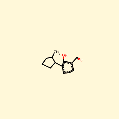 CC1CCCC1c1cccc(C=O)c1O